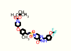 Cc1cc(OC2CCN(C(=O)OC(C)(C)C)CC2)ccc1/C=C/S(=O)(=O)N1CCC2(CC1)N=C(c1cccc(OC(F)(F)F)c1)NC2=O